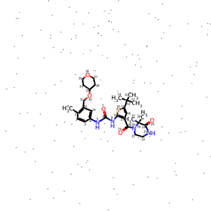 Cc1ccc(NC(=O)Nc2sc(C(C)(C)C)cc2C(=O)N2CCNC(=O)C2(C)C)cc1COC1CCOCC1